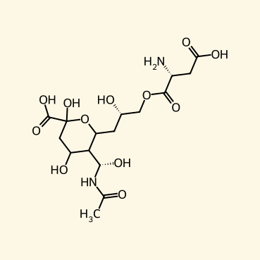 CC(=O)N[C@@H](O)C1C(O)CC(O)(C(=O)O)OC1C[C@H](O)COC(=O)[C@H](N)CC(=O)O